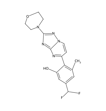 Cc1cc(C(F)F)cc(O)c1-c1ccn2nc(N3CCOCC3)nc2n1